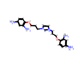 Nc1ccc(OCCCn2cc[n+](CCCOc3ccc(N)cc3N)c2)c(N)c1